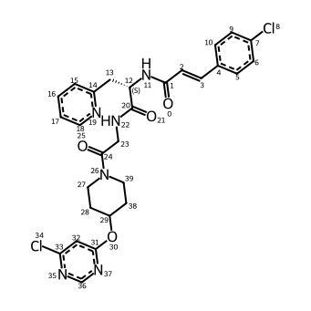 O=C(C=Cc1ccc(Cl)cc1)N[C@@H](Cc1ccccn1)C(=O)NCC(=O)N1CCC(Oc2cc(Cl)ncn2)CC1